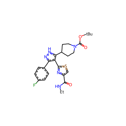 CCNC(=O)c1csc(-c2c(-c3ccc(F)cc3)n[nH]c2C2CCN(C(=O)OC(C)(C)C)CC2)n1